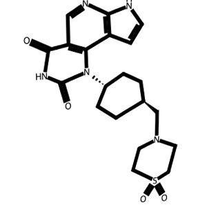 O=c1[nH]c(=O)n([C@H]2CC[C@H](CN3CCS(=O)(=O)CC3)CC2)c2c1cnc1[nH]ccc12